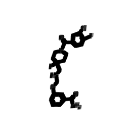 NC(=O)c1cccc(OCNCC2(F)CCN(C(=O)c3ccc(F)c(Cl)c3)CC2)c1